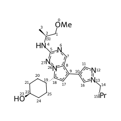 COC[C@H](C)Nc1ncc2c(-c3cnn(CC(C)C)c3)cc([C@H]3CC[C@H](O)CC3)n2n1